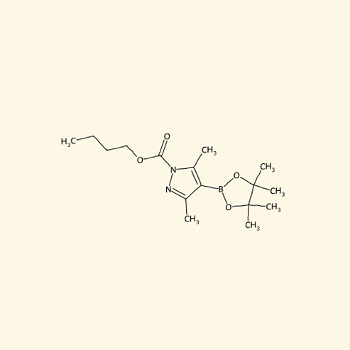 CCCCOC(=O)n1nc(C)c(B2OC(C)(C)C(C)(C)O2)c1C